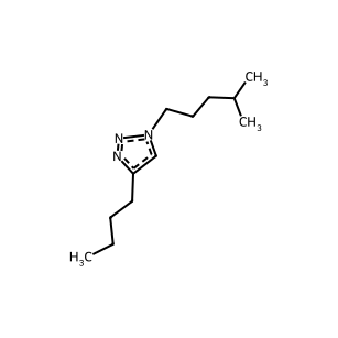 CCCCc1cn(CCCC(C)C)nn1